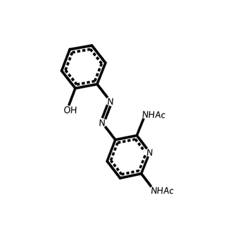 CC(=O)Nc1ccc(/N=N/c2ccccc2O)c(NC(C)=O)n1